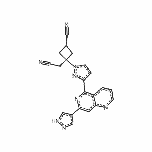 N#CC[C@]1(n2ccc(-c3nc(-c4cn[nH]c4)cc4ncccc34)n2)C[C@H](C#N)C1